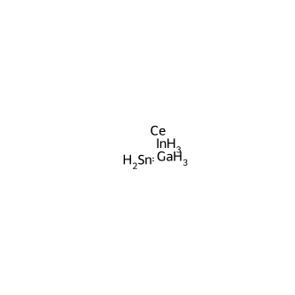 [Ce].[GaH3].[InH3].[SnH2]